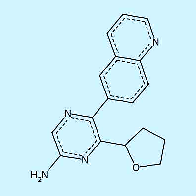 Nc1cnc(-c2ccc3ncccc3c2)c(C2CCCO2)n1